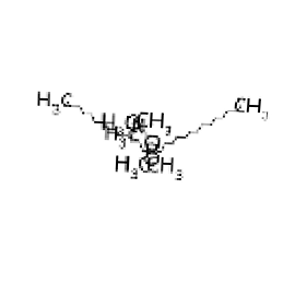 CC.CCCCCCCCCCCCCCP(=O)(CCCCCCCCCCCCCC)OCC[N+](C)(C)C